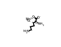 NCCCC[C@H](N)C(=O)[O-].[Cl-].[Mn+2]